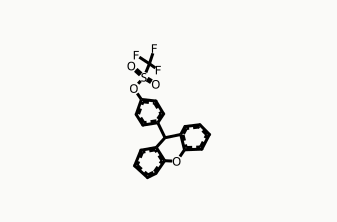 O=S(=O)(Oc1ccc(C2c3ccccc3Oc3ccccc32)cc1)C(F)(F)F